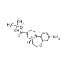 CC(C)(C)OC(=O)N1CCN2c3ccc(N)cc3OCC[C@@H]2C1